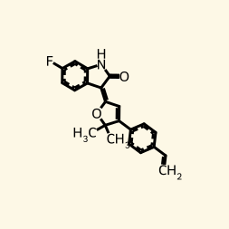 C=Cc1ccc(C2=C/C(=C3\C(=O)Nc4cc(F)ccc43)OC2(C)C)cc1